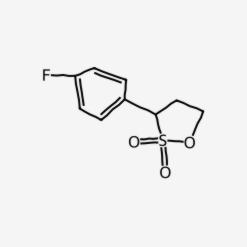 O=S1(=O)OCCC1c1ccc(F)cc1